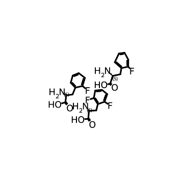 N[C@@H](Cc1c(F)cccc1F)C(=O)O.N[C@@H](Cc1ccccc1F)C(=O)O.N[C@@H](Cc1ccccc1F)C(=O)O